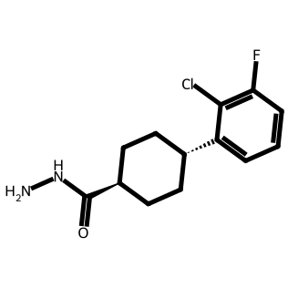 NNC(=O)[C@H]1CC[C@H](c2cccc(F)c2Cl)CC1